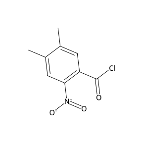 Cc1cc(C(=O)Cl)c([N+](=O)[O-])cc1C